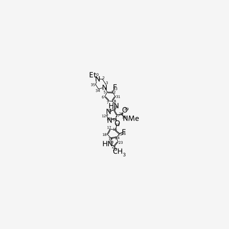 CCN1CCN(c2ccc(Nc3ncnc(Oc4ccc5[nH]c(C)cc5c4F)c3C(=O)NC)cc2F)CC1